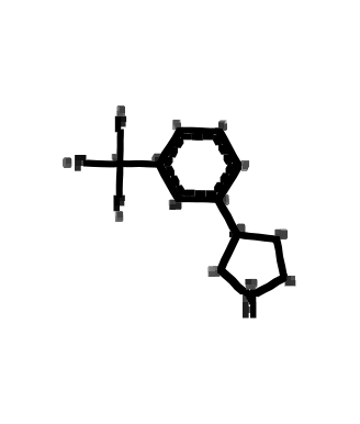 FC(F)(F)c1cccc([C]2CCNC2)c1